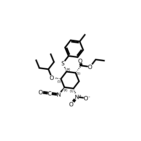 CCOC(=O)[C@@H]1C[C@H]([N+](=O)[O-])[C@@H](N=C=O)[C@H](OC(CC)CC)[C@@H]1Sc1ccc(C)cc1